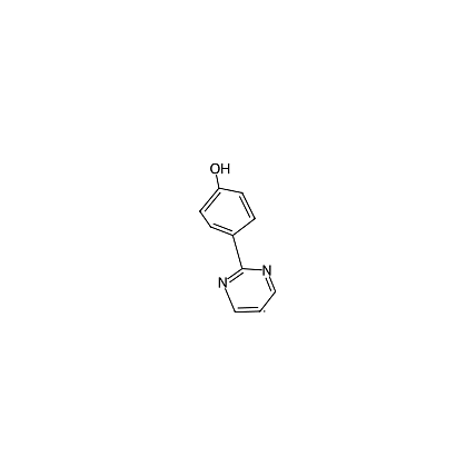 Oc1ccc(-c2nc[c]cn2)cc1